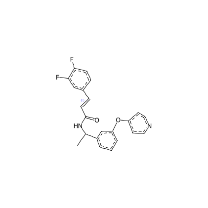 CC(NC(=O)/C=C/c1ccc(F)c(F)c1)c1cccc(Oc2ccncc2)c1